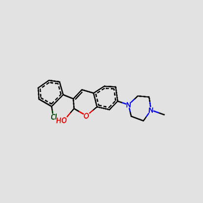 CN1CCN(c2ccc3c(c2)OC(O)C(c2ccccc2Cl)=C3)CC1